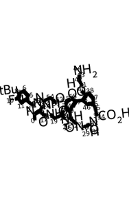 Cc1nc(-c2ccc(C(C)(C)C)c(F)c2)nc(N)c1C(=O)NCC(=O)N(C)[C@@H]1C(=O)N[C@@H](C)C(=O)N[C@H](C(=O)O)Cc2ccc(OCCCN)c(c2)-c2cc1cc(OCCCN)c2O